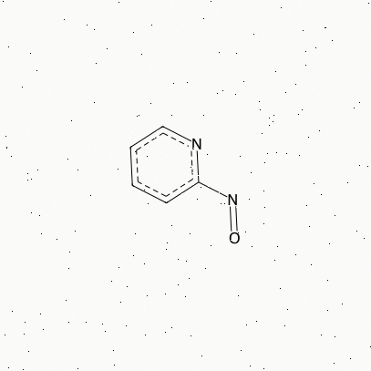 O=Nc1ccccn1